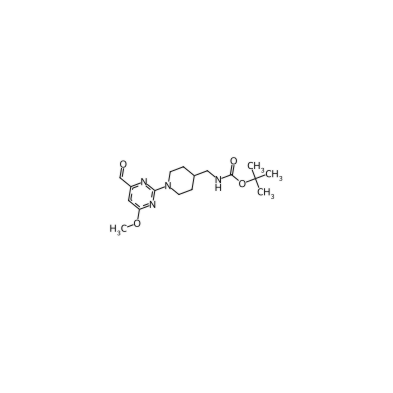 COc1cc(C=O)nc(N2CCC(CNC(=O)OC(C)(C)C)CC2)n1